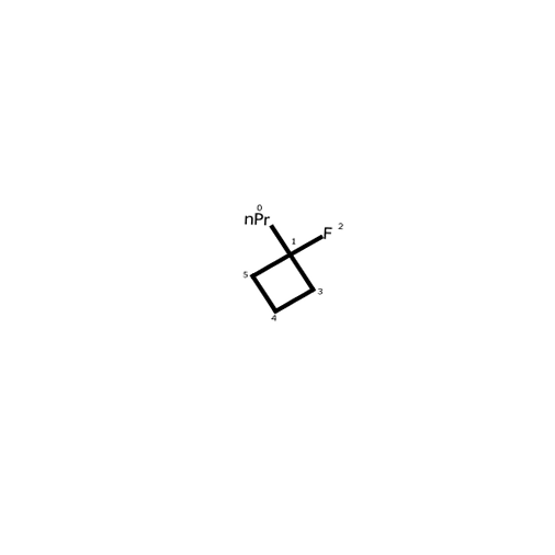 [CH2]CCC1(F)CCC1